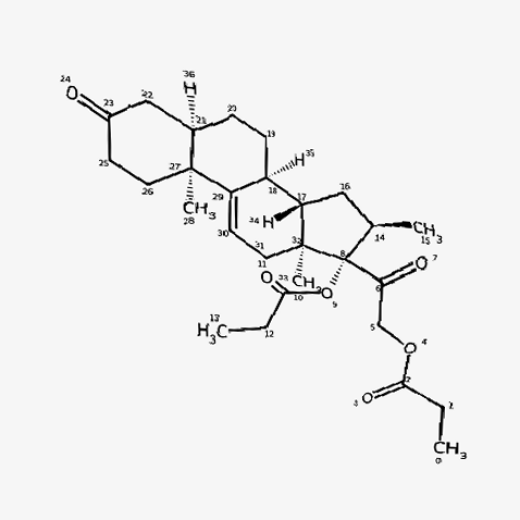 CCC(=O)OCC(=O)[C@]1(OC(=O)CC)[C@H](C)C[C@H]2[C@@H]3CC[C@@H]4CC(=O)CC[C@]4(C)C3=CC[C@@]21C